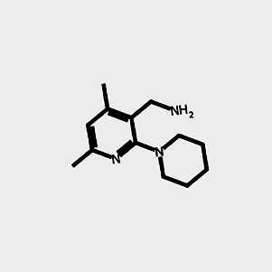 Cc1cc(C)c(CN)c(N2CCCCC2)n1